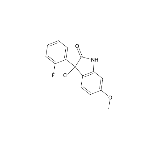 COc1ccc2c(c1)NC(=O)C2(Cl)c1ccccc1F